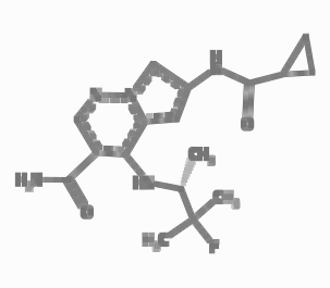 C[C@@H](Nc1c(C(N)=O)cnn2cc(NC(=O)C3CC3)cc12)C(C)(C)F